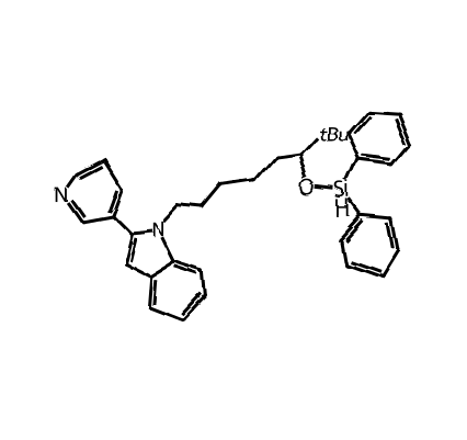 CC(C)(C)C(CCCCCn1c(-c2cccnc2)cc2ccccc21)O[SiH](c1ccccc1)c1ccccc1